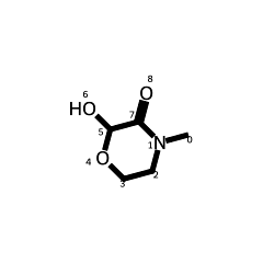 CN1CCOC(O)C1=O